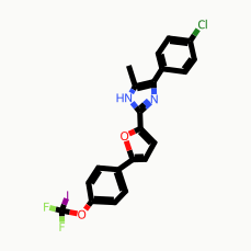 Cc1[nH]c(-c2ccc(-c3ccc(OC(F)(F)I)cc3)o2)nc1-c1ccc(Cl)cc1